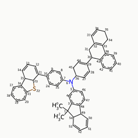 CC1(C)c2cc(N(c3ccc(C4=CC=CC5c6ccccc6SC45)cc3)C3C=CC(C4CC5=C(CCC=C5)c5ccccc54)=CC3)ccc2C2C=CC=CC21